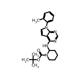 Cc1ccccc1-n1ccc2c(NC3CCCCN3C(=O)OC(C)(C)C)ncnc21